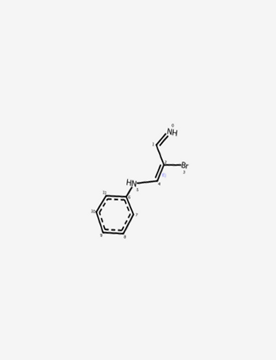 N=C/C(Br)=C\Nc1ccccc1